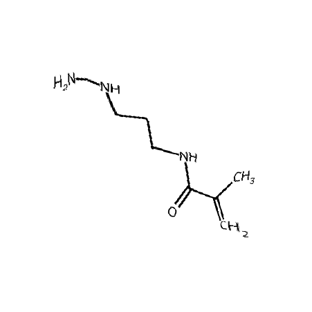 C=C(C)C(=O)NCCCNN